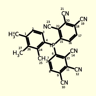 Cc1ccc(P(c2ccc(C#N)c(C#N)c2C#N)c2ccc(C#N)c(C#N)c2C#N)c(C)c1C